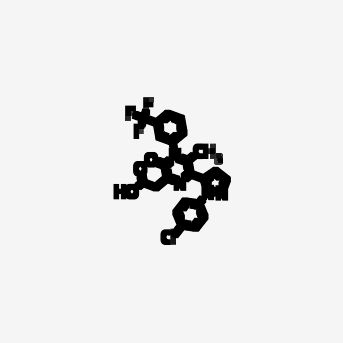 Cc1c(-c2ccnn2-c2ccc(Cl)cc2)nc(CC(=O)O)c(=O)n1-c1cccc(C(F)(F)F)c1